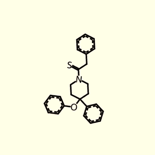 S=C(Cc1ccccc1)N1CCC(Oc2ccccc2)(c2ccccc2)CC1